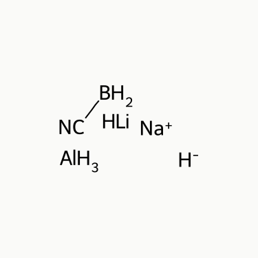 BC#N.[AlH3].[H-].[LiH].[Na+]